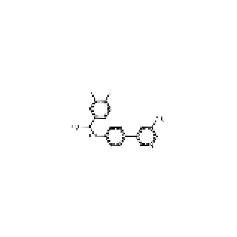 Cc1cncc(-c2ccc(NC(C)c3ccc(F)c(F)c3)nc2)c1